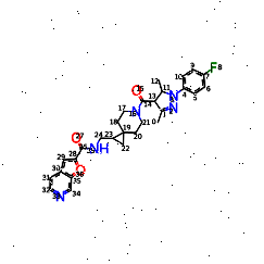 CC1=NN(c2ccc(F)cc2)C(C)C1C(=O)N1CCC2(CC1)CC2CNC(=O)c1cc2ccncc2o1